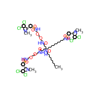 CCCCCCCCCCC(=O)NC(CCCCCCCCCCCCNS(=O)(=O)c1cccc([C@@H]2CN(C)Cc3c(Cl)cc(Cl)cc32)c1)(CCC(=O)NCCOCCOCCNS(=O)(=O)c1cccc([C@@H]2CN(C)Cc3c(Cl)cc(Cl)cc32)c1)CCC(=O)NCCOCCOCCNS(=O)(=O)c1cccc([C@@H]2CN(C)Cc3c(Cl)cc(Cl)cc32)c1